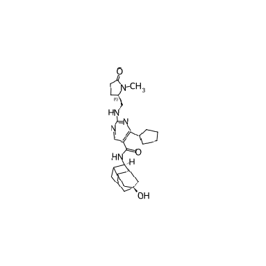 CN1C(=O)CC[C@@H]1CNc1ncc(C(=O)N[C@H]2C3CC4CC2C[C@@](O)(C4)C3)c(C2CCCC2)n1